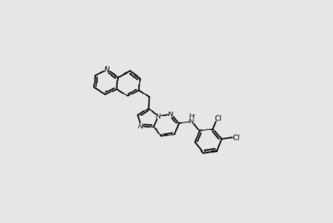 Clc1cccc(Nc2ccc3ncc(Cc4ccc5ncccc5c4)n3n2)c1Cl